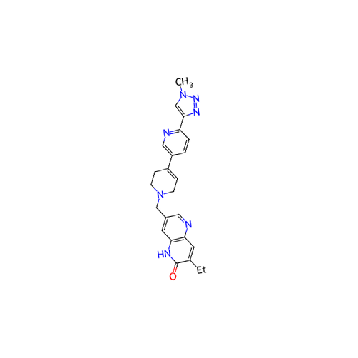 CCc1cc2ncc(CN3CC=C(c4ccc(-c5cn(C)nn5)nc4)CC3)cc2[nH]c1=O